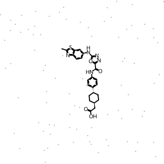 Cc1nc2ccc(Nc3nnc(C(=O)Nc4ccc([C@H]5CC[C@H](CC(=O)O)CC5)cc4)o3)cc2s1